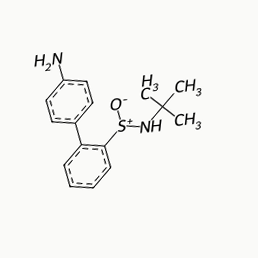 CC(C)(C)N[S+]([O-])c1ccccc1-c1ccc(N)cc1